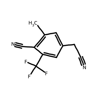 Cc1cc(CC#N)cc(C(F)(F)F)c1C#N